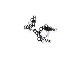 COc1cc2cc(c1Cl)N(C)C(=O)C[C@H](CC(=O)COCCCSC1CC(=O)N(C[C@H]3CC[C@H](C(=O)NNI)CC3)C1=O)[C@@]1(C)CC(C)(O1)[C@@H]1C[C@@](O)(NC(=O)O1)[C@H](OC)/C=C/C=C(\C)C2